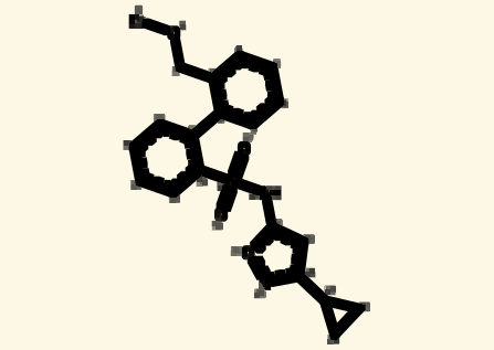 CCOCc1ccccc1-c1ccccc1S(=O)(=O)Nc1cc(C2CC2)no1